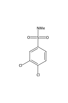 [CH2]NS(=O)(=O)c1ccc(Cl)c(Cl)c1